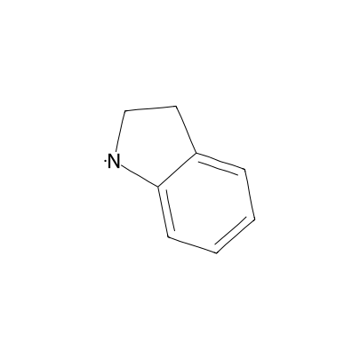 c1ccc2c(c1)CC[N]2